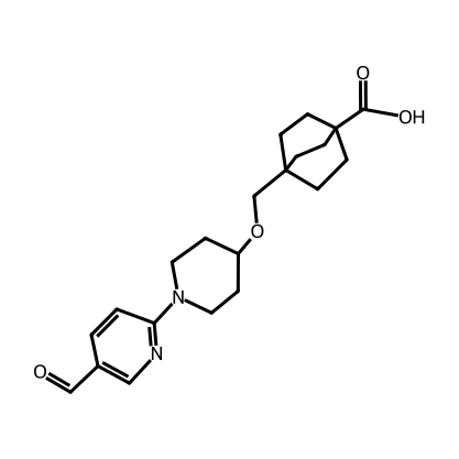 O=Cc1ccc(N2CCC(OCC34CCC(C(=O)O)(CC3)CC4)CC2)nc1